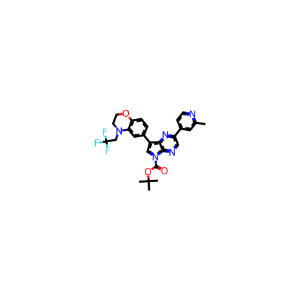 Cc1cc(-c2cnc3c(n2)c(-c2ccc4c(c2)N(CC(F)(F)F)CCO4)cn3C(=O)OC(C)(C)C)ccn1